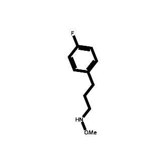 CONCCCc1ccc(F)cc1